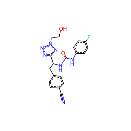 N#Cc1ccc(CC(NC(=O)Nc2ccc(F)cc2)c2nnn(CCO)n2)cc1